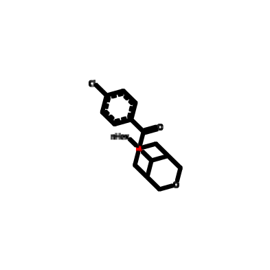 CCCCCCN1CC2COCC(C1)C2OC(=O)c1ccc(Cl)cc1